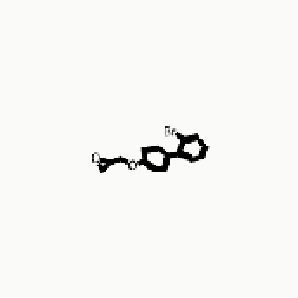 Brc1ccccc1-c1ccc(OCC2CO2)cc1